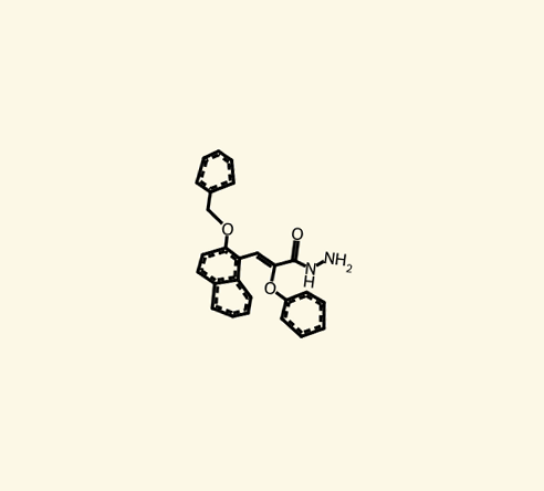 NNC(=O)C(=Cc1c(OCc2ccccc2)ccc2ccccc12)Oc1ccccc1